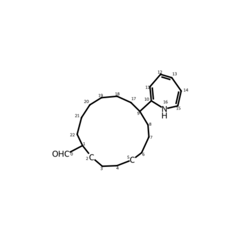 O=CC1CCCCCCCC(C2=CC=CC=CN2)CCCCCC1